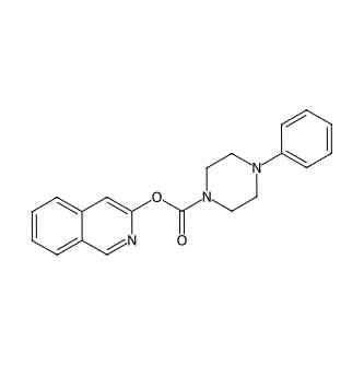 O=C(Oc1cc2ccccc2cn1)N1CCN(c2ccccc2)CC1